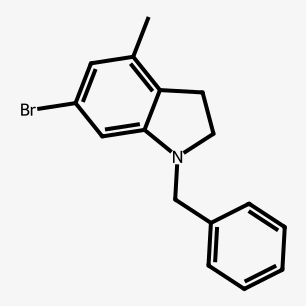 Cc1cc(Br)cc2c1CCN2Cc1ccccc1